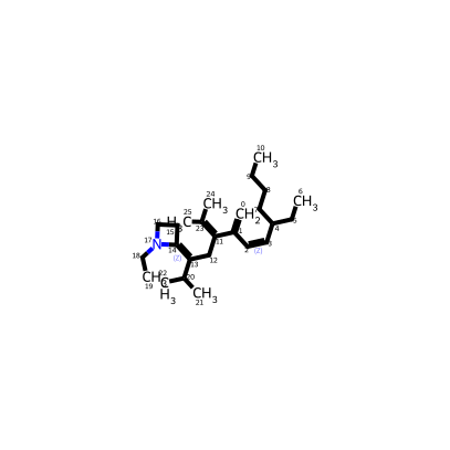 C=C(/C=C\C(CC)CCCC)C(C/C(=C1\CCN1CC)C(C)C)=C(C)C